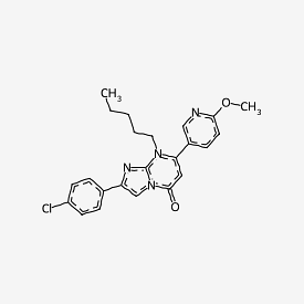 CCCCCn1c(-c2ccc(OC)nc2)cc(=O)n2cc(-c3ccc(Cl)cc3)nc12